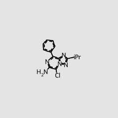 CC(C)c1nc2c(-c3ccccc3)nc(N)c(Cl)n2n1